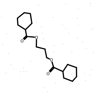 O=C(OCCCOC(=O)C1CCCCC1)C1CCCCC1